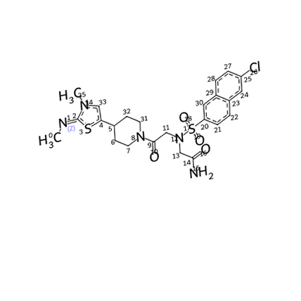 C/N=c1\sc(C2CCN(C(=O)CN(CC(N)=O)S(=O)(=O)c3ccc4cc(Cl)ccc4c3)CC2)cn1C